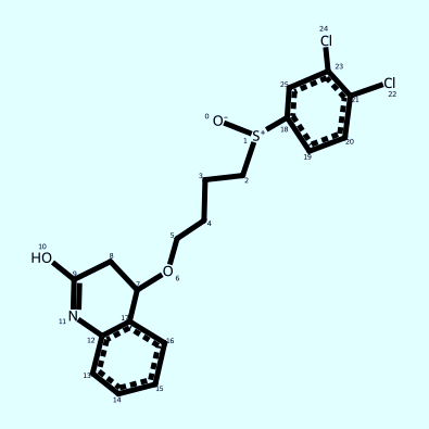 [O-][S+](CCCCOC1CC(O)=Nc2ccccc21)c1ccc(Cl)c(Cl)c1